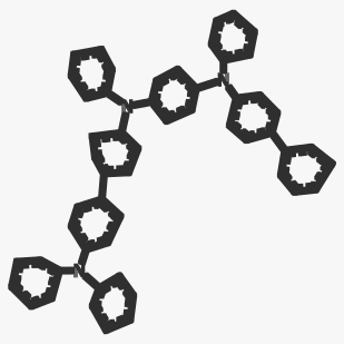 c1ccc(-c2ccc(N(c3ccccc3)c3ccc(N(c4ccccc4)c4ccc(-c5ccc(N(c6ccccc6)c6ccccc6)cc5)cc4)cc3)cc2)cc1